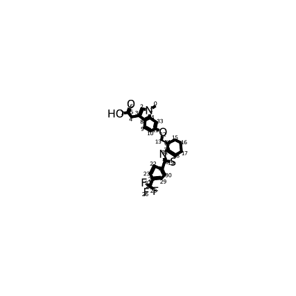 Cn1cc(CC(=O)O)c2ccc(OC[C@H]3CCCc4sc(-c5ccc(C(F)(F)F)cc5)nc43)cc21